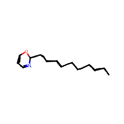 CCCCCCCCCCC1N=CC=CO1